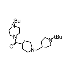 CC(C)(C)N1CCC(CN2CCC(C(=O)N3CCN(C(C)(C)C)CC3)CC2)CC1